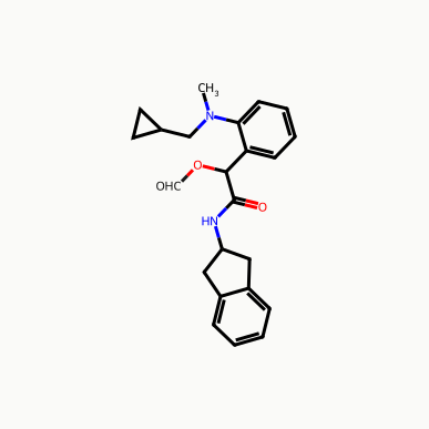 CN(CC1CC1)c1ccccc1C(OC=O)C(=O)NC1Cc2ccccc2C1